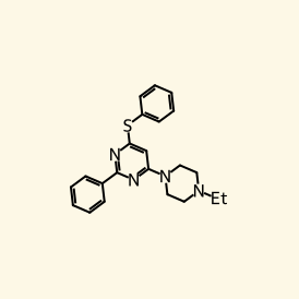 CCN1CCN(c2cc(Sc3ccccc3)nc(-c3ccccc3)n2)CC1